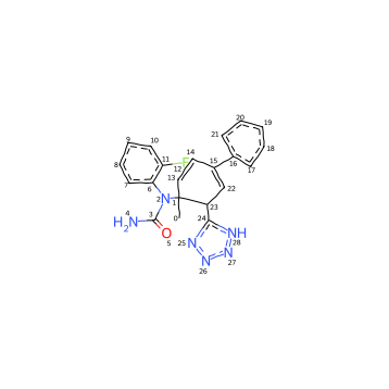 CC1(N(C(N)=O)c2ccccc2F)C=CC(c2ccccc2)=CC1c1nnn[nH]1